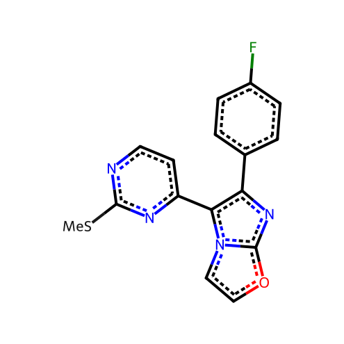 CSc1nccc(-c2c(-c3ccc(F)cc3)nc3occn23)n1